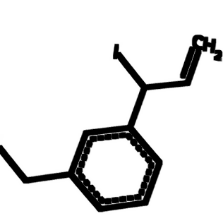 C=CC(I)c1cccc(CCl)c1